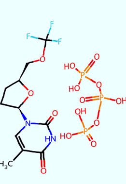 Cc1cn([C@H]2CC[C@@H](COC(F)(F)F)O2)c(=O)[nH]c1=O.O=P(O)(O)OP(=O)(O)OP(=O)(O)O